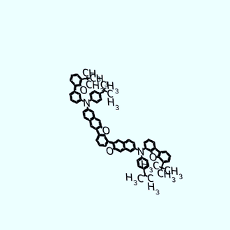 CC(C)c1ccc(N(c2ccc3cc4c(cc3c2)oc2c4ccc3oc4cc5cc(N(c6ccc(C(C)C)cc6)c6cccc7c6oc6c(C(C)(C)C)cccc67)ccc5cc4c32)c2cccc3c2oc2c(C(C)(C)C)cccc23)cc1